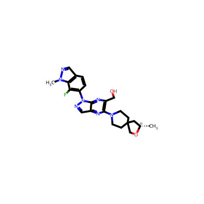 C[C@H]1CC2(CCN(c3nc4cnn(-c5ccc6cnn(C)c6c5F)c4nc3CO)CC2)CO1